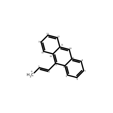 CC=Cc1c2ccccc2cc2ccccc12